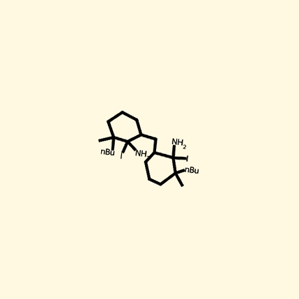 CCCCC1(C)CCCC(CC2CCCC(C)(CCCC)C2(N)I)C1(N)I